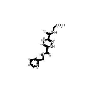 O=C(O)CNC(=O)C1=NNC(C(=O)NCc2ccccn2)=NN1